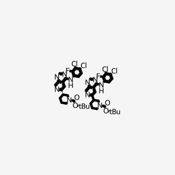 CC(C)(C)OC(=O)N1CCCC(c2cc3c(Nc4ccc(Cl)c(Cl)c4F)ncnc3cn2)C1.CC(C)(C)OC(=O)N1CCC[C@H](c2cc3c(Nc4ccc(Cl)c(Cl)c4F)ncnc3cn2)C1